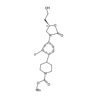 CC(C)(C)OC(=O)N1CCC(c2ccc(N3C[C@@H](CCO)OC3=O)cc2F)CC1